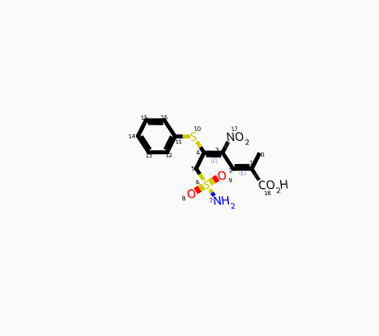 C/C(=C\C(=C(/CS(N)(=O)=O)Sc1ccccc1)[N+](=O)[O-])C(=O)O